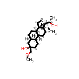 CC[C@]12CC[C@H]3[C@@H](CC[C@@H]4C[C@@](O)(COC)CC[C@@H]43)[C@@H]1CC[C@@H]2[C@H](C)O